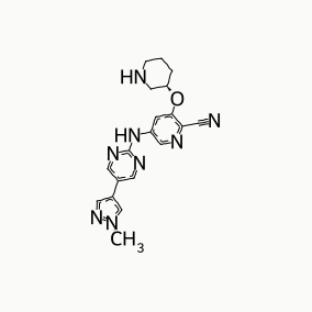 Cn1cc(-c2cnc(Nc3cnc(C#N)c(O[C@@H]4CCCNC4)c3)nc2)cn1